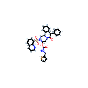 O=C(NCc1cccs1)OC1CN(C(=O)C(c2ccccc2)c2ccccc2)CCN1S(=O)(=O)c1cccc2cccnc12